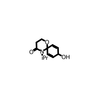 CC(C)N1C(=O)CCOC12C=CC(O)C=C2